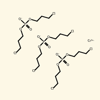 O=P([O-])(OCCCCl)OCCCCl.O=P([O-])(OCCCCl)OCCCCl.O=P([O-])(OCCCCl)OCCCCl.[Cr+3]